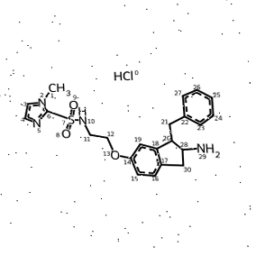 Cl.Cn1ccnc1S(=O)(=O)NCCOc1ccc2c(c1)C(Cc1ccccc1)C(N)C2